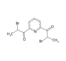 CC(Br)C(=O)c1cccc(C(=O)C(C)Br)n1